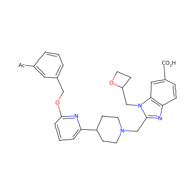 CC(=O)c1cccc(COc2cccc(C3CCN(Cc4nc5ccc(C(=O)O)cc5n4CC4CCO4)CC3)n2)c1